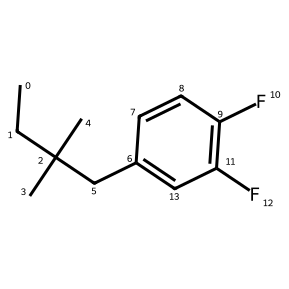 CCC(C)(C)Cc1ccc(F)c(F)c1